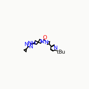 CC(C)(C)c1ccc(C2CN(C(=O)N3CC4(CC(c5nc(C6CC6)n[nH]5)C4)C3)C2)cn1